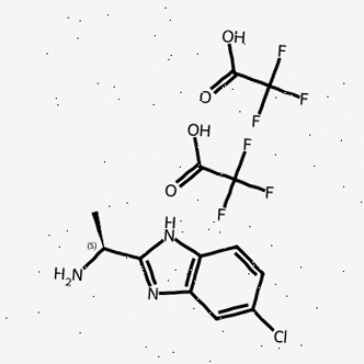 C[C@H](N)c1nc2cc(Cl)ccc2[nH]1.O=C(O)C(F)(F)F.O=C(O)C(F)(F)F